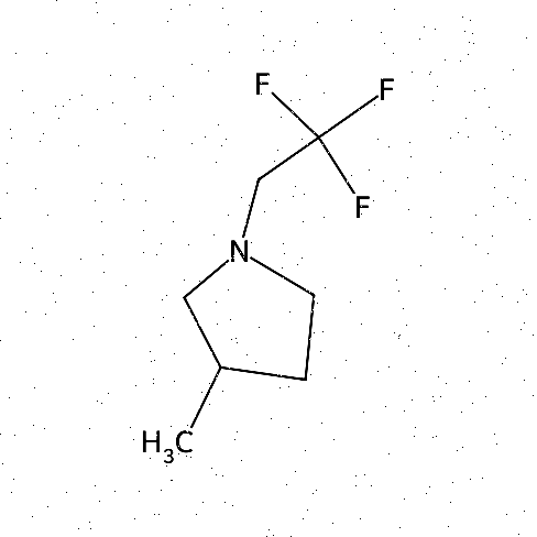 CC1CCN(CC(F)(F)F)C1